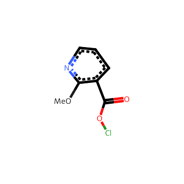 COc1ncccc1C(=O)OCl